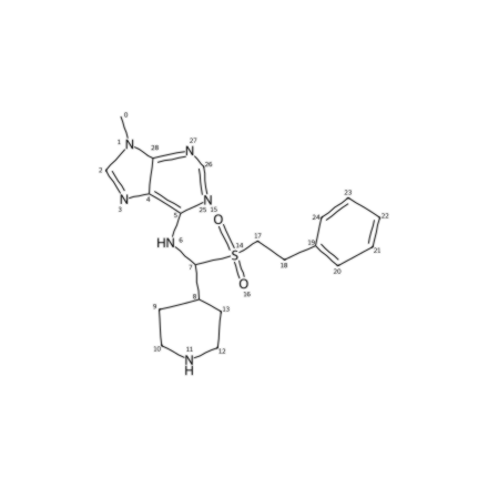 Cn1cnc2c(NC(C3CCNCC3)S(=O)(=O)CCc3ccccc3)ncnc21